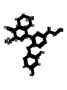 CCSNc1ccc(Oc2ccc(F)cc2F)c(-c2cn(C)c(=O)c3c2CNCC3)c1